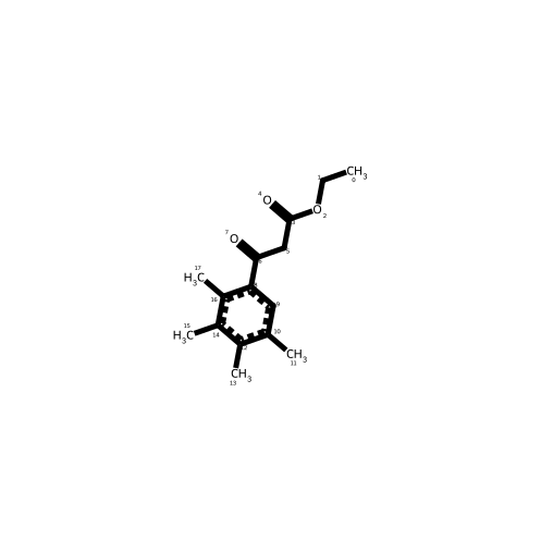 CCOC(=O)CC(=O)c1cc(C)c(C)c(C)c1C